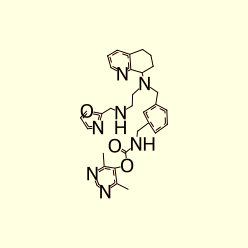 Cc1ncnc(C)c1OC(=O)NCc1cccc(CN(CCNCc2ncco2)C2CCCc3cccnc32)c1